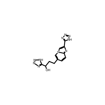 OC(CCc1ccc2nc(-c3nnn[nH]3)cn2c1)c1nnn[nH]1